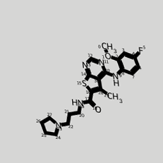 COc1cc(F)ccc1Nc1ncnc2sc(C(=O)NCCCN3CCCC3)c(C)c12